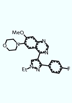 CCn1cc(-c2ncnc3cc(OC)c(N4CCOCC4)cc23)c(-c2ccc(F)cc2)n1